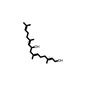 CC(C)=CCC/C(C)=C/C(O)CC(C)=CCC/C(C)=C/CO